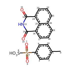 Cc1ccc(S(=O)(=O)S(=O)(=O)O)cc1.O=C1NC(=O)c2cccc3cccc1c23